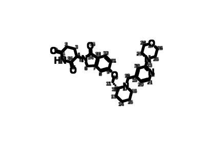 O=C1CCC(N2Cc3cc(OC[C@H]4CCCCN4Cc4ccnc(N5CCOCC5)c4)ccc3C2=O)C(=O)N1